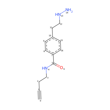 C#CCCNC(=O)c1ccc(CCNN)cc1